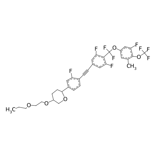 CCCOCCOC1CCC(c2ccc(C#Cc3cc(F)c(C(F)(F)Oc4cc(C)c(OC(F)(F)F)c(F)c4)c(F)c3)c(F)c2)OC1